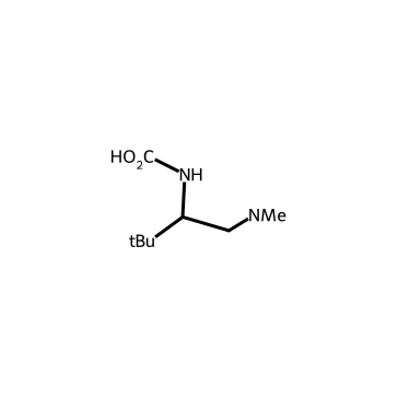 CNCC(NC(=O)O)C(C)(C)C